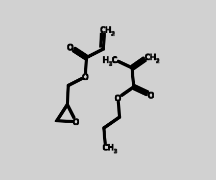 C=C(C)C(=O)OCCC.C=CC(=O)OCC1CO1